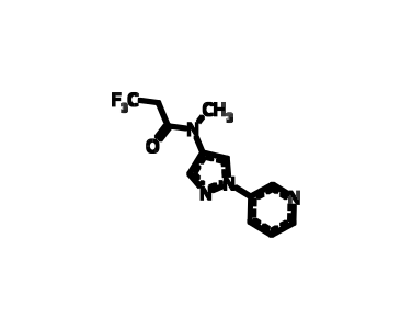 CN(C(=O)CC(F)(F)F)c1cnn(-c2cccnc2)c1